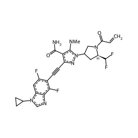 C=CC(=O)N1CC(n2nc(C#Cc3c(F)cc4c(ncn4C4CC4)c3F)c(C(N)=O)c2NC)C[C@@H]1C(F)F